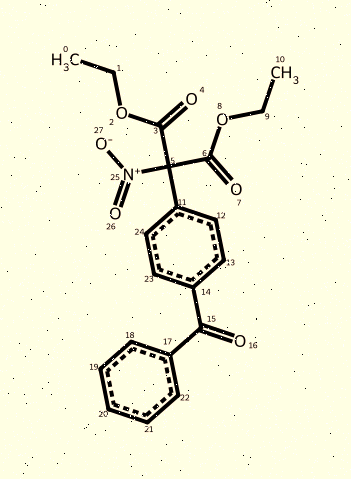 CCOC(=O)C(C(=O)OCC)(c1ccc(C(=O)c2ccccc2)cc1)[N+](=O)[O-]